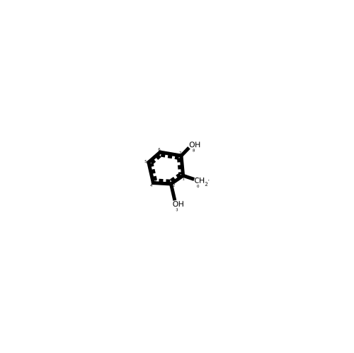 [CH2]c1c(O)cccc1O